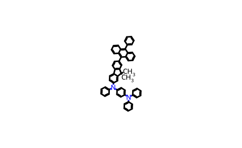 CC1(C)c2cc(-c3c4ccccc4c(-c4ccccc4)c4ccccc34)ccc2-c2ccc(N(c3ccccc3)c3ccc(N(c4ccccc4)c4ccccc4)cc3)cc21